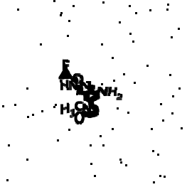 Cn1c(-c2cc(N)c3cnc(NC(=O)[C@H]4C[C@H]4F)cc3c2)cccc1=O